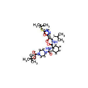 CC(C)C[C@H](NC(=O)C1(NC(=O)N2CCN(C(=O)OC(C)(C)C)CC2)CCCCC1)C(=O)c1nnc(SC(C)C)o1